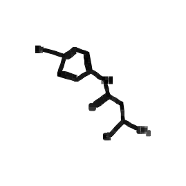 CC(Cl)CC(=O)Nc1ccc(Br)cc1